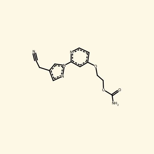 N#CCc1cnn(-c2cc(OCCOC(N)=O)ccn2)c1